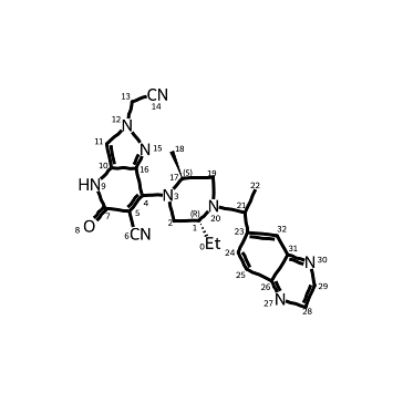 CC[C@@H]1CN(c2c(C#N)c(=O)[nH]c3cn(CC#N)nc23)[C@@H](C)CN1C(C)c1ccc2nccnc2c1